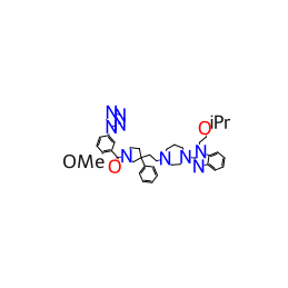 COc1ccc(-n2cnnn2)cc1C(=O)N1CCC(CCN2CCCN(c3nc4ccccc4n3CCOC(C)C)CC2)(c2ccccc2)C1